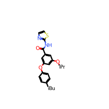 CCC(C)c1ccc(Oc2cc(OC(C)C)cc(C(=O)Nc3nccs3)c2)cc1